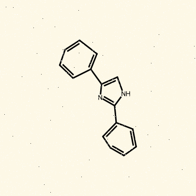 [c]1ccc(-c2c[nH]c(-c3ccccc3)n2)cc1